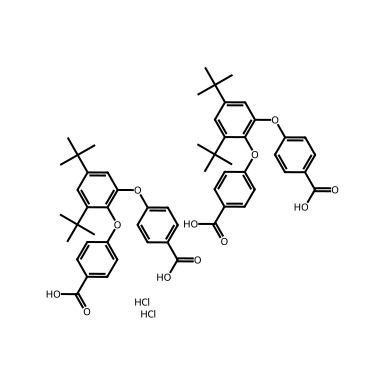 CC(C)(C)c1cc(Oc2ccc(C(=O)O)cc2)c(Oc2ccc(C(=O)O)cc2)c(C(C)(C)C)c1.CC(C)(C)c1cc(Oc2ccc(C(=O)O)cc2)c(Oc2ccc(C(=O)O)cc2)c(C(C)(C)C)c1.Cl.Cl